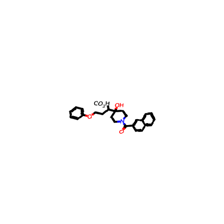 O=C(O)C(CCOc1ccccc1)C1(O)CCN(C(=O)c2ccc3ccccc3c2)CC1